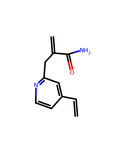 C=Cc1ccnc(CC(=C)C(N)=O)c1